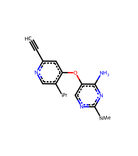 C#Cc1cc(Oc2cnc(NC)nc2N)c(C(C)C)cn1